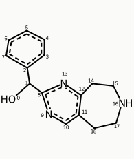 OC(c1ccccc1)c1ncc2c(n1)CCNCC2